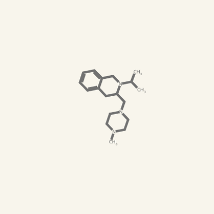 CC(C)N1Cc2ccccc2CC1CN1CCN(C)CC1